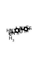 CC(=N)Nc1ccc2nc(-c3ccc(F)cc3)oc2c1